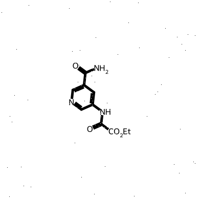 CCOC(=O)C(=O)Nc1cncc(C(N)=O)c1